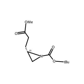 COC(=O)CC[C@H]1CN1C(=O)OC(C)(C)C